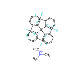 C[NH+](C)C.FC(F)(F)c1ccccc1[B-](c1ccccc1C(F)(F)F)(c1ccccc1C(F)(F)F)c1ccccc1C(F)(F)F